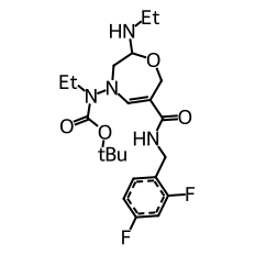 CCNC1CN(N(CC)C(=O)OC(C)(C)C)C=C(C(=O)NCc2ccc(F)cc2F)CO1